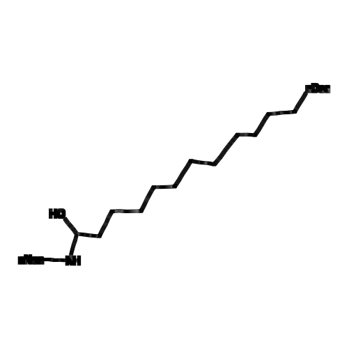 CCCCCCCCCCCCCCCCCCCCCC(O)NCCCCCCCCC